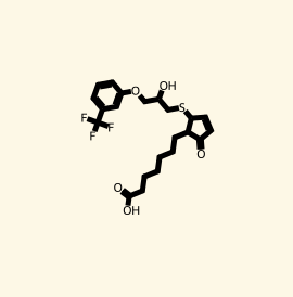 O=C(O)CCCCCCC1C(=O)C=CC1SCC(O)COc1cccc(C(F)(F)F)c1